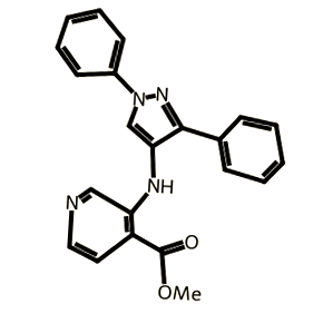 COC(=O)c1ccncc1Nc1cn(-c2ccccc2)nc1-c1ccccc1